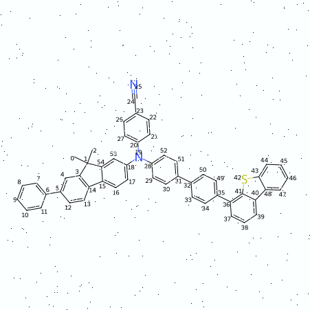 CC1(C)c2cc(-c3ccccc3)ccc2-c2ccc(N(c3ccc(C#N)cc3)c3ccc(-c4ccc(-c5cccc6c5sc5ccccc56)cc4)cc3)cc21